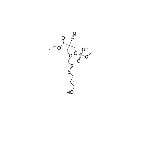 CCOC(=O)C(C#N)(COCSSCCCO)COP(=O)(O)OC